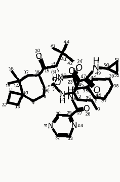 CCCC(NC(=O)[C@@H]1CCC2(CCC2)C(C)(C)CC1C(=O)[C@@H](NC(=O)[C@@H](NC(=O)c1cnccn1)C1CCCCC1)C(C)(C)C)C(=O)C(=O)NC1CC1